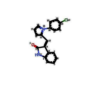 O=C1Nc2ccccc2C1=Cc1cccn1-c1ccc(Cl)cc1